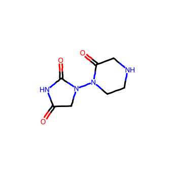 O=C1CN(N2CCNCC2=O)C(=O)N1